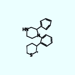 [C]1SCCCC1c1ccccc1N1CCNCC1c1ccccc1